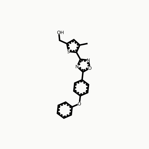 Cc1cc(CO)sc1-c1noc(-c2ccc(Oc3ccccc3)cc2)n1